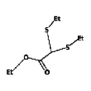 CCOC(=O)C(SCC)SCC